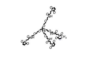 C/C=C\C(=O)N(C=O)CCC(=O)NCCOCCOCC(COCCOCCNC(=O)CCN1C(=O)C=CC1=O)(COCCOCCNC(=O)CCN1C(=O)C=CC1=O)COCCOCCNC(=O)CCN1C(=O)C=CC1=O